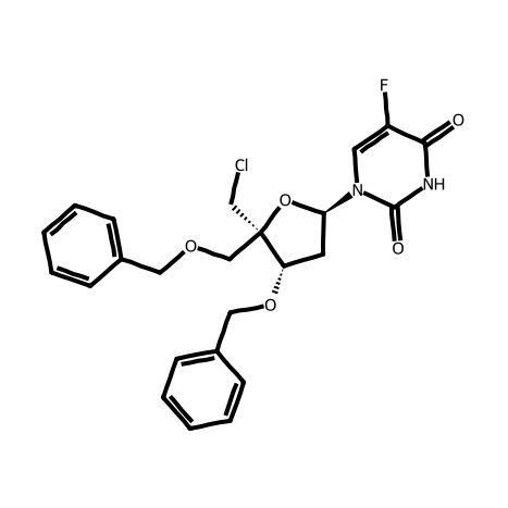 O=c1[nH]c(=O)n([C@H]2C[C@H](OCc3ccccc3)[C@@](CCl)(COCc3ccccc3)O2)cc1F